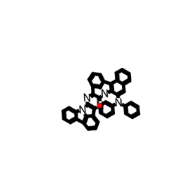 c1ccc(N(c2ccccc2)c2cc3ccccc3c3c4cccc5c6nc7c(nc6n(c23)c54)c2cccc3c4ccccc4n7c32)cc1